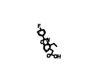 CCc1c(CC(=O)O)ccc2oc(-c3ccc(F)cc3)nc12